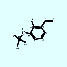 C=[C]c1cccc(OC(C)(C)C)c1C